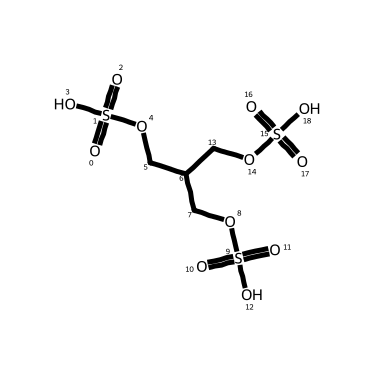 O=S(=O)(O)OCC(COS(=O)(=O)O)COS(=O)(=O)O